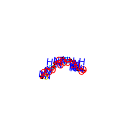 CCOC(=O)Nc1cccc(COc2nc3ccc(-c4cccc(OC(F)(F)C(=O)Nc5cccc(COc6nc7ccc(-c8ccc(OC(F)(F)C(=O)Nc9cccc(COc%10nc%11ccccc%11n%10-c%10cc(C)ns%10)n9)cc8)cc7n6-c6ccon6)n5)c4)cc3n2-c2nnnn2C)n1